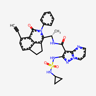 C#Cc1ccc2c3c(c([C@H](C)NC(=O)c4c(NS(=O)(=O)NC5CC5)nn5cccnc45)n(-c4ccccc4)c(=O)c13)CC2